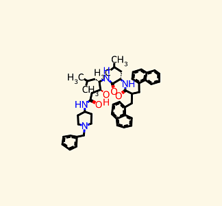 CC(C)C[C@H](NC(=O)C(Cc1cccc2ccccc12)Cc1cccc2ccccc12)C(=O)N[C@@H](CC(C)C)[C@@H](O)CC(=O)NC1CCN(Cc2ccccc2)CC1